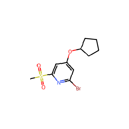 CS(=O)(=O)c1cc(OC2CCCC2)cc(Br)n1